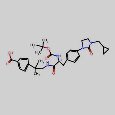 CC(C)(C)OC(=O)N[C@@H](Cc1ccc(N2CCN(CC3CC3)C2=O)cc1)C(=O)NCC(C)(C)c1ccc(C(=O)O)cc1